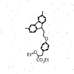 CCOC(=O)C(Cc1ccc(OCCC2c3ccc(C)cc3-c3cc(C)ccc32)cc1)OCC